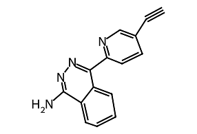 C#Cc1ccc(-c2nnc(N)c3ccccc23)nc1